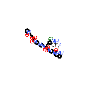 Nc1c(Cl)cc(C[C@@H](OC(=O)N2CCC(N3CCc4ccccc4NC3=O)CC2)C(=O)N2CCN(C3CCN(C(=O)C(=O)OCCCN4CCCCC4=O)CC3)CC2)cc1C(F)(F)F